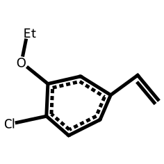 C=Cc1ccc(Cl)c(OCC)c1